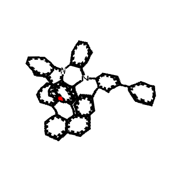 c1ccc(-c2ccc(N(c3cccc(-c4cccc5cccc(-c6ccccc6)c45)c3)c3ccccc3-n3c4ccccc4c4ccccc43)c(-c3ccccc3)c2)cc1